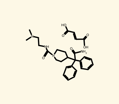 CN(C)CCNC(=O)N1CCC(C(C(N)=O)(c2ccccc2)c2ccccc2)CC1.O=C(O)/C=C/C(=O)O